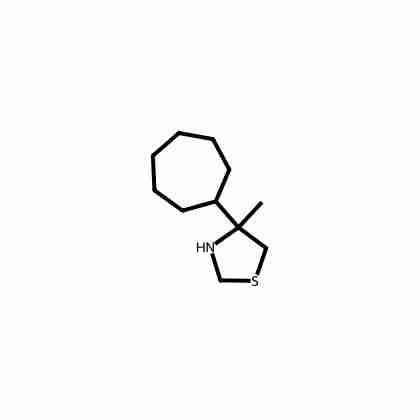 CC1(C2CCCCCC2)CSCN1